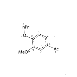 CC[CH]Oc1ccc(C(C)=O)cc1OC